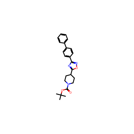 CC(C)(C)OC(=O)N1CCC(c2nc(-c3ccc(-c4ccccc4)cc3)no2)CC1